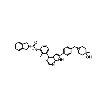 Cc1c(NC(=O)N2Cc3ccccc3C2)cccc1-c1ncnc2[nH]c(-c3ccc(CN4CCC(C)(O)CC4)cc3)cc12